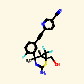 C[C@]1(c2cc(C#Cc3ccc(C#N)cn3)ccc2F)N=C(N)S[C@]2(CO)[C@H]1C2(F)F